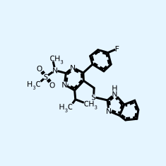 CC(C)c1nc(N(C)S(C)(=O)=O)nc(-c2ccc(F)cc2)c1CSc1nc2ccccc2[nH]1